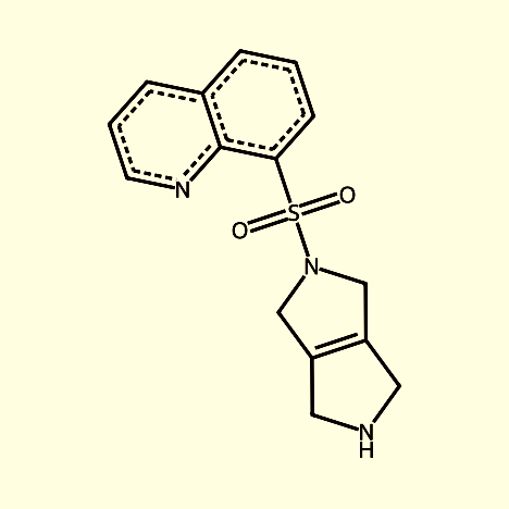 O=S(=O)(c1cccc2cccnc12)N1CC2=C(CNC2)C1